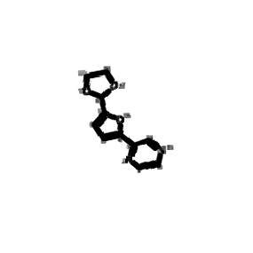 c1cnc(-c2ccc(C3OCCO3)o2)cn1